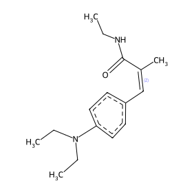 CCNC(=O)/C(C)=C\c1ccc(N(CC)CC)cc1